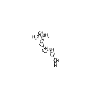 C=C(N(C)C)N1Cc2ccc(-c3nccc(Nc4ccc(-c5cn[nH]c5)cc4)n3)cc2C1